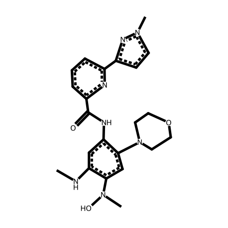 CNc1cc(NC(=O)c2cccc(-c3ccn(C)n3)n2)c(N2CCOCC2)cc1N(C)O